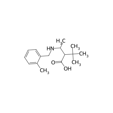 Cc1ccccc1CNC(C)C(C(=O)O)C(C)(C)C